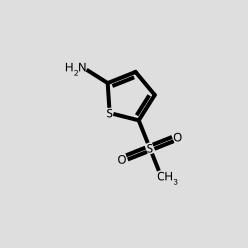 CS(=O)(=O)c1ccc(N)s1